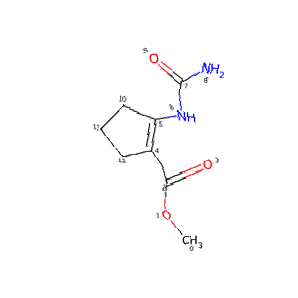 COC(=O)C1=C(NC(N)=O)CCC1